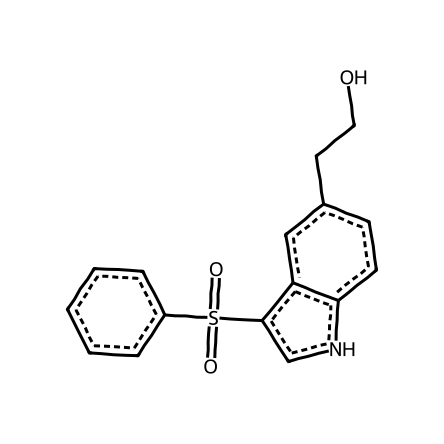 O=S(=O)(c1ccccc1)c1c[nH]c2ccc(CCO)cc12